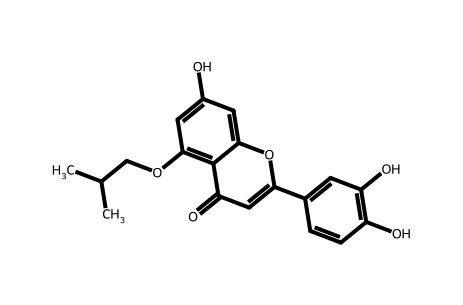 CC(C)COc1cc(O)cc2oc(-c3ccc(O)c(O)c3)cc(=O)c12